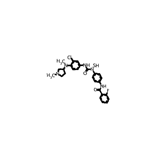 CN1CCC(N(C)c2ccc(NC(=O)N(S)c3ccc(NC(=O)c4ccccc4F)cc3)cc2Cl)C1